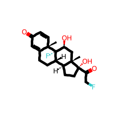 C[C@]12C=CC(=O)C=C1CC[C@H]1[C@@H]3CC[C@](O)(C(=O)CF)[C@@]3(C)C[C@H](O)[C@@]12F